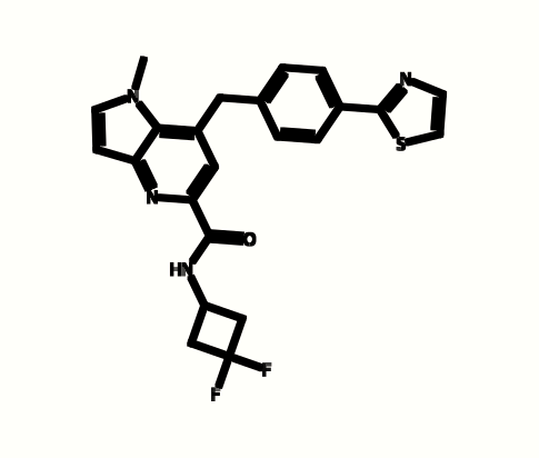 Cn1ccc2nc(C(=O)NC3CC(F)(F)C3)cc(Cc3ccc(-c4nccs4)cc3)c21